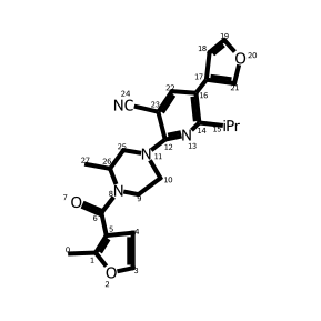 Cc1occc1C(=O)N1CCN(c2nc(C(C)C)c(-c3ccoc3)cc2C#N)CC1C